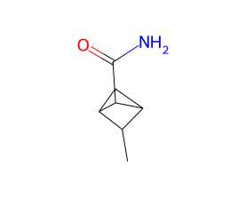 CC1C2CC1C2C(N)=O